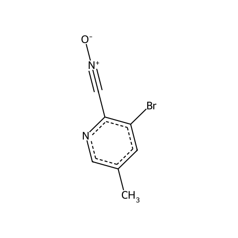 Cc1cnc(C#[N+][O-])c(Br)c1